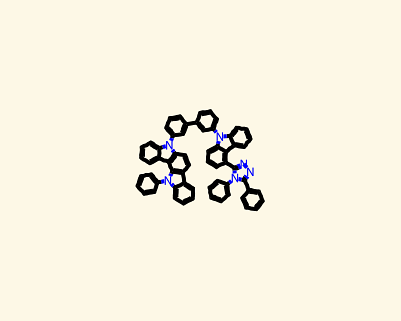 c1ccc(-c2nnc(-c3cccc4c3c3ccccc3n4-c3cccc(-c4cccc(-n5c6ccccc6c6c5ccc5c7ccccc7n(-c7ccccc7)c56)c4)c3)n2-c2ccccc2)cc1